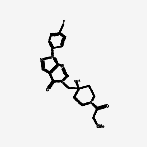 COCC(=O)N1CCC(O)(Cn2cnc3c(cnn3-c3ccc(F)cc3)c2=O)CC1